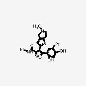 CCNC(=O)c1noc(-c2cc(C(C)C)c(O)cc2O)c1-c1cc2c(s1)CCN(C)C2